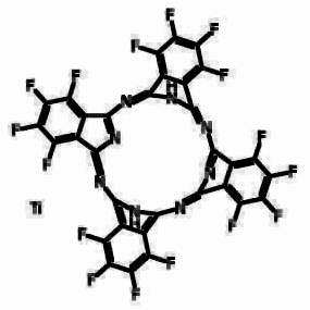 Fc1c(F)c(F)c2c(c1F)-c1nc-2nc2[nH]c(nc3nc(nc4[nH]c(n1)c1c(F)c(F)c(F)c(F)c41)-c1c(F)c(F)c(F)c(F)c1-3)c1c(F)c(F)c(F)c(F)c21.[Ti]